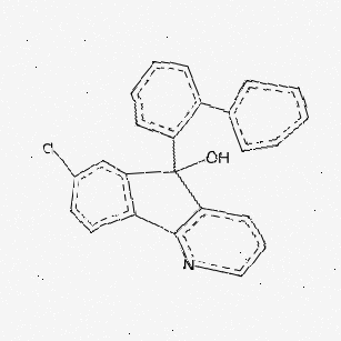 OC1(c2ccccc2-c2ccccc2)c2cc(Cl)ccc2-c2ncccc21